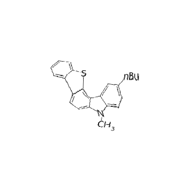 CCCCc1ccc2c(c1)c1c3sc4ccccc4c3ccc1n2C